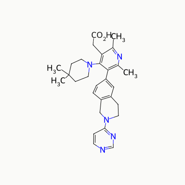 Cc1nc(C)c(-c2ccc3c(c2)CCN(c2ccncn2)C3)c(N2CCC(C)(C)CC2)c1CC(=O)O